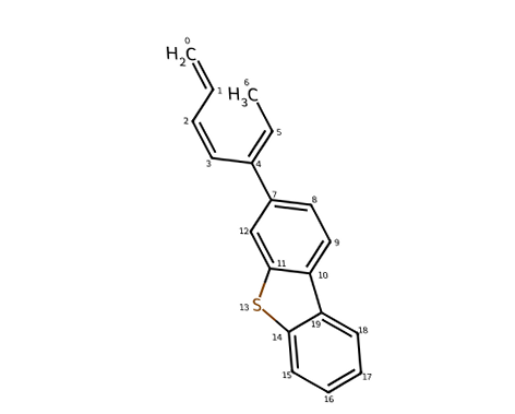 C=C/C=C\C(=C/C)c1ccc2c(c1)sc1ccccc12